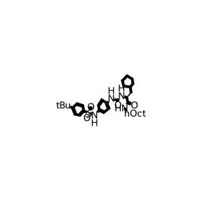 CCCCCCCCNC(=O)[C@H](CC1CCCCC1)NC(=O)Nc1ccc(NS(=O)(=O)c2ccc(C(C)(C)C)cc2)cc1